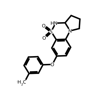 [CH2]c1cccc(Oc2ccc3c(c2)S(=O)(=O)NC2CCCN32)c1